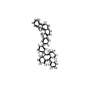 C1=C(c2cccc(-c3c4ccccc4c(-c4ccccc4)c4ccccc34)c2)C=C2Sc3c(ccc4ccc5c6ccccc6oc5c34)C2C1